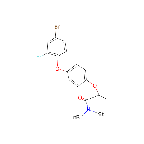 CCCCN(CC)C(=O)C(C)Oc1ccc(Oc2ccc(Br)cc2F)cc1